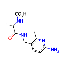 Cc1nc(N)ccc1CNC(=O)[C@H](C)NC(=O)O